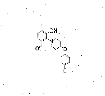 O=Cc1ccc(F)c(O)c1N1CCC(Oc2ccc(Cl)cc2)CC1